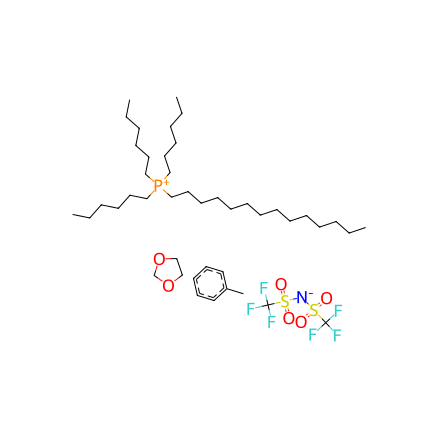 C1COCO1.CCCCCCCCCCCCCC[P+](CCCCCC)(CCCCCC)CCCCCC.Cc1ccccc1.O=S(=O)([N-]S(=O)(=O)C(F)(F)F)C(F)(F)F